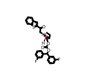 O=C(OC(c1cccc(F)c1)c1cccc(F)c1)O[C@H]1C[N+]2(CC(=O)c3cc4ccccc4s3)CCC1CC2